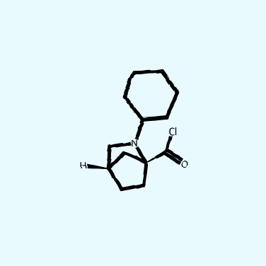 O=C(Cl)[C@]12CC[C@H](CN1C1CCCCC1)C2